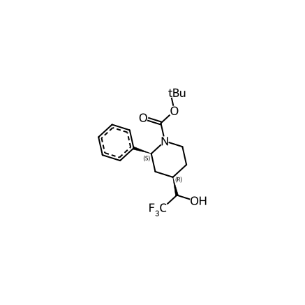 CC(C)(C)OC(=O)N1CC[C@@H](C(O)C(F)(F)F)C[C@H]1c1ccccc1